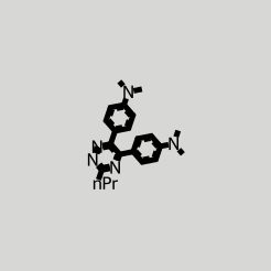 CCCc1nnc(-c2ccc(N(C)C)cc2)c(-c2ccc(N(C)C)cc2)n1